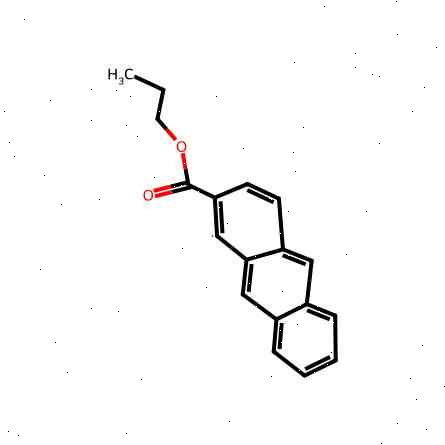 CCCOC(=O)c1[c]c2cc3ccccc3cc2cc1